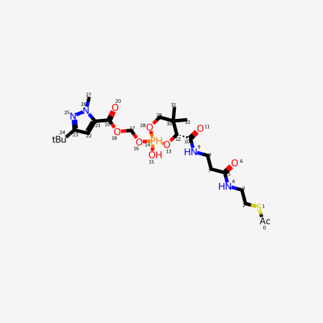 CC(=O)SCCNC(=O)CCNC(=O)[C@@H]1O[PH](O)(OCOC(=O)c2cc(C(C)(C)C)nn2C)OCC1(C)C